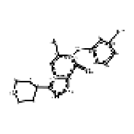 O=c1c2nnc(C3CCOCC3)n2cc(Br)n1Cc1cccc(F)c1